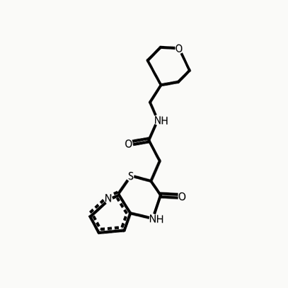 O=C(CC1Sc2ncccc2NC1=O)NCC1CCOCC1